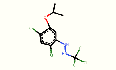 CC(C)Oc1cc(NNC(Cl)(Cl)Cl)c(Cl)cc1Cl